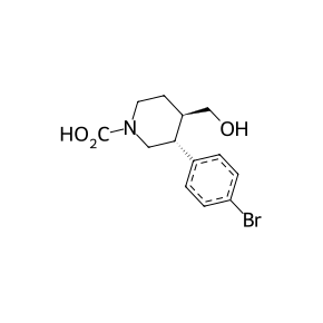 O=C(O)N1CC[C@@H](CO)[C@H](c2ccc(Br)cc2)C1